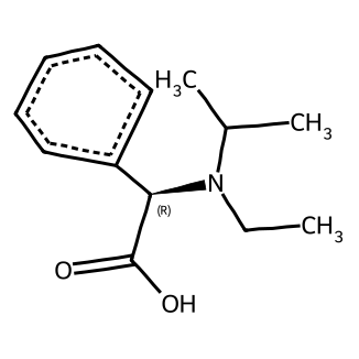 CCN(C(C)C)[C@@H](C(=O)O)c1ccccc1